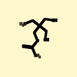 CCC(CO)(CO)COC(N)=O